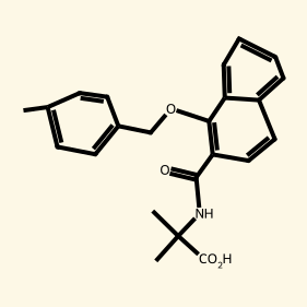 Cc1ccc(COc2c(C(=O)NC(C)(C)C(=O)O)ccc3ccccc23)cc1